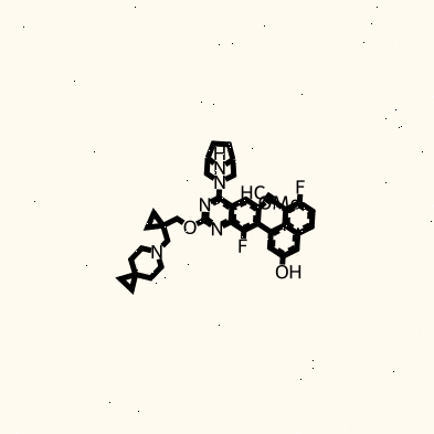 C#Cc1c(F)ccc2cc(O)cc(-c3c(OC)cc4c(N5CC6CCC(C5)N6)nc(OCC5(CN6CCC7(CC6)CC7)CC5)nc4c3F)c12